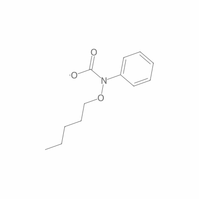 CCCCCON(C([O])=O)c1ccccc1